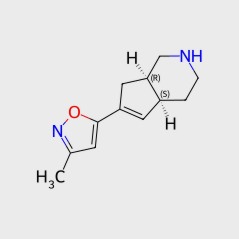 Cc1cc(C2=C[C@@H]3CCNC[C@@H]3C2)on1